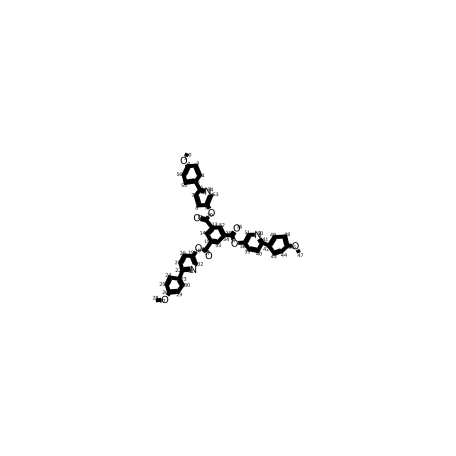 COc1ccc(-c2ccc(OC(=O)c3cc(C(=O)Oc4ccc(-c5ccc(OC)cc5)nc4)cc(C(=O)Oc4ccc(-c5ccc(OC)cc5)nc4)c3)cn2)cc1